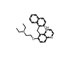 CCN(CC)CCOc1ccc2nccnc2c1Cc1c(O)ccc2ccccc12